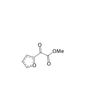 COC(=O)C(=O)c1ccco1